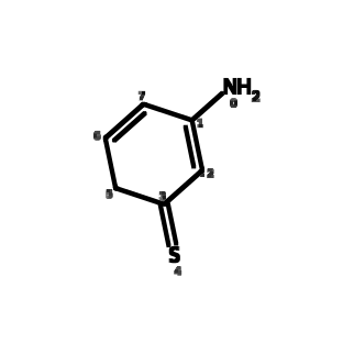 NC1=[C]C(=S)CC=C1